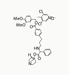 COc1ccc([C@H](Cc2c(Cl)c[n+]([O-])cc2Cl)OC(=O)c2ccc(CCCNC(C(=O)O[C@H]3CN4CCC3CC4)c3ccccc3)cc2)cc1OC